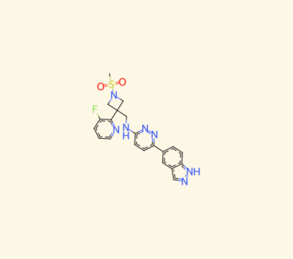 CS(=O)(=O)N1CC(CNc2ccc(-c3ccc4[nH]ncc4c3)nn2)(c2ncccc2F)C1